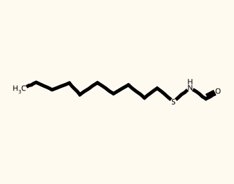 CCCCCCCCCCSN[C]=O